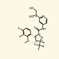 COc1c([C@@H]2[C@@H](C(=O)Nc3ccnc([C@@H](O)CO)c3)O[C@](C)(C(F)(F)F)[C@@H]2C)ccc(F)c1F